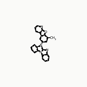 Cc1cc(-n2c3ccccc3n3c4ccccc4nc23)cc2c1oc1ncccc12